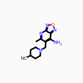 Cc1nc2nonc2c(N)c1CN1CCC(C#N)CC1